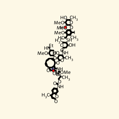 CCN[C@H]1CO[C@@H](O[C@H]2[C@H](O[C@H]3C#CC=CC#C[C@]4(O)C[C@H](O)C(NC(=O)OC)=C3/C4=C\CSS[C@H](C)COC(=O)Nc3ccc4c(C)cc(=O)oc4c3)O[C@H](C)[C@@H](NO[C@H]3C[C@H](O)[C@H]([SH]=C(O)c4c(C)c(I)c(O[C@@H]5O[C@@H](C)[C@H](O)[C@@H](OC)[C@H]5O)c(OC)c4OC)[C@@H](C)O3)[C@@H]2O)C[C@@H]1OC